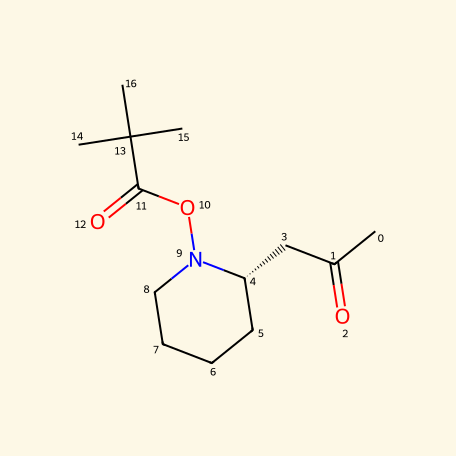 CC(=O)C[C@@H]1CCCCN1OC(=O)C(C)(C)C